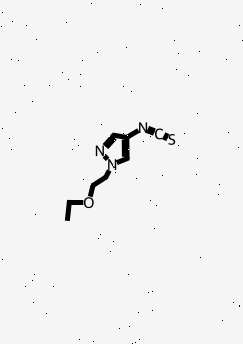 CCOCCn1cc(N=C=S)cn1